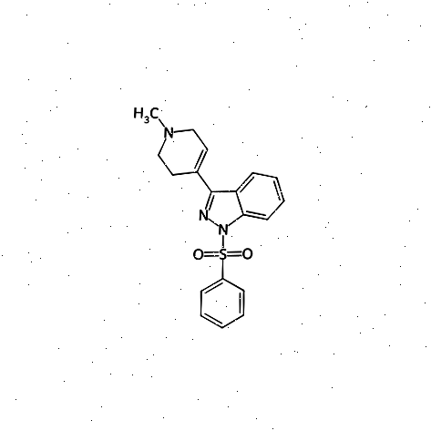 CN1CC=C(c2nn(S(=O)(=O)c3ccccc3)c3ccccc23)CC1